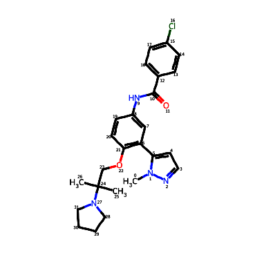 Cn1nccc1-c1cc(NC(=O)c2ccc(Cl)cc2)ccc1OCC(C)(C)N1CCCC1